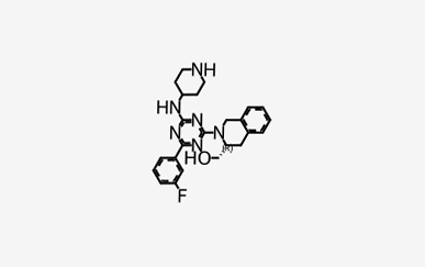 OC[C@H]1Cc2ccccc2CN1c1nc(NC2CCNCC2)nc(-c2cccc(F)c2)n1